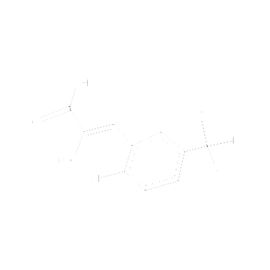 C/C(=C\c1cc(C(F)(F)F)ccc1Cl)C(=O)O